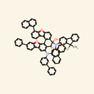 CC1(C)c2ccccc2-c2ccc(N(c3ccccc3)C3(O)C(=O)c4c(N(C5=Cc6ccccc6C6C=CC=CC56)c5cccc(-c6ccccc6)c5)cc5c(oc6cc(-c7ccccc7)ccc65)c4-c4c3ccc3oc5c(-c6cccc7ccccc67)cccc5c43)cc21